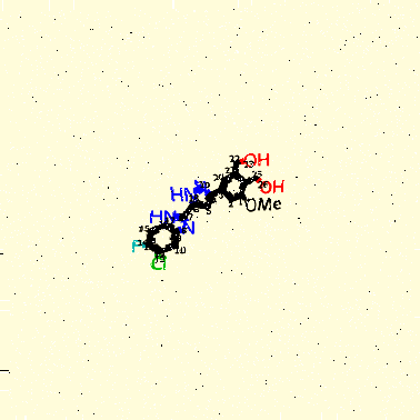 COc1cc(-c2cc(-c3nc4cc(Cl)c(F)cc4[nH]3)[nH]n2)cc(CO)c1CO